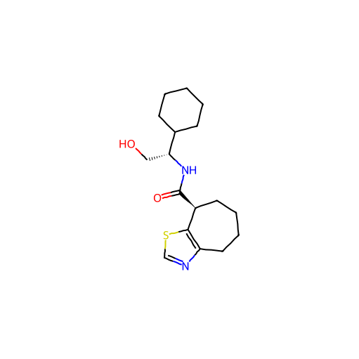 O=C(N[C@H](CO)C1CCCCC1)[C@H]1CCCCc2ncsc21